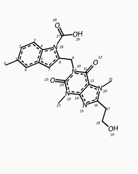 Cc1ccc2c(c1)cc(Cn1c(=O)c3c(nc(CCO)n3C)n(C)c1=O)n2C(=O)O